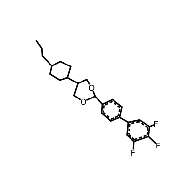 CCCC1CCC(C2COC(c3ccc(-c4cc(F)c(F)c(F)c4)cc3)OC2)CC1